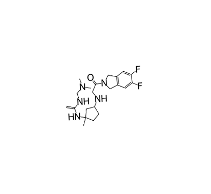 C=C(NCN(C)C)NC1(C)CCC(NCC(=O)N2Cc3cc(F)c(F)cc3C2)C1